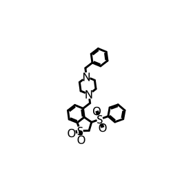 O=S1(=O)CC(S(=O)(=O)c2ccccc2)c2c(CN3CCN(Cc4ccccc4)CC3)cccc21